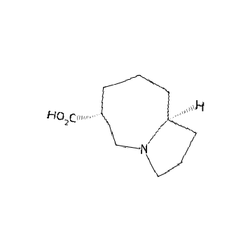 O=C(O)[C@@H]1CCC[C@H]2CCCN2C1